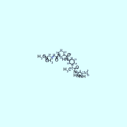 CC(C(=O)Nc1cc(C2CC2)[nH]n1)c1cccc(NC(=O)C2CCCN(C(=O)/C=C/CN(C)C)C2)c1